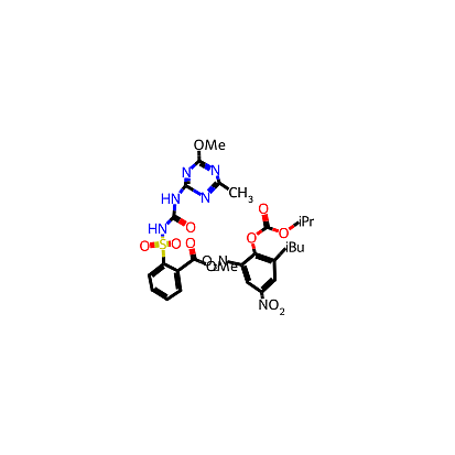 CCC(C)c1cc([N+](=O)[O-])cc([N+](=O)[O-])c1OC(=O)OC(C)C.COC(=O)c1ccccc1S(=O)(=O)NC(=O)Nc1nc(C)nc(OC)n1